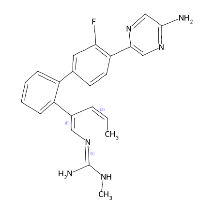 C\C=C/C(=C\N=C(/N)NC)c1ccccc1-c1ccc(-c2cnc(N)cn2)c(F)c1